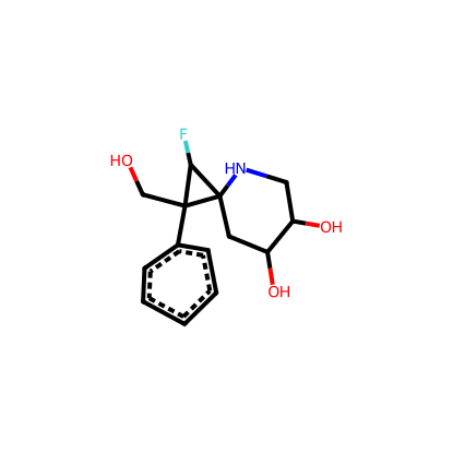 OCC1(c2ccccc2)C(F)C12CC(O)C(O)CN2